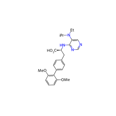 CCN(c1cncnc1N[C@@H](Cc1ccc(-c2c(OC)cccc2OC)cc1)C(=O)O)C(C)C